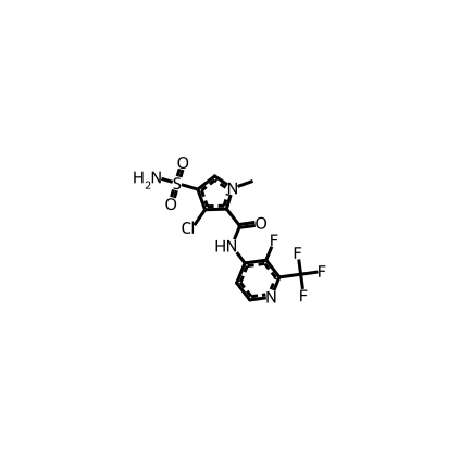 Cn1cc(S(N)(=O)=O)c(Cl)c1C(=O)Nc1ccnc(C(F)(F)F)c1F